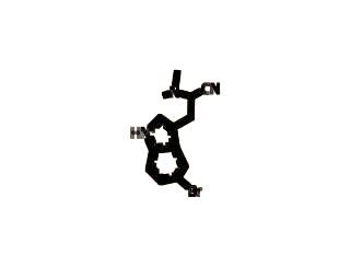 CN(C)C(C#N)Cc1c[nH]c2ccc(Br)cc12